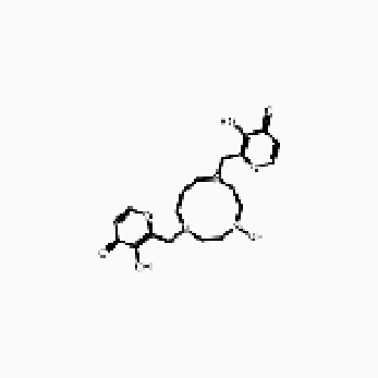 O=c1ccoc(CN2CCCN(Cc3occc(=O)c3O)CCN(O)CC2)c1O